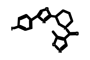 Cc1oncc1C(=O)N1CCCC(c2nc(-c3ccc(F)cc3)co2)C1